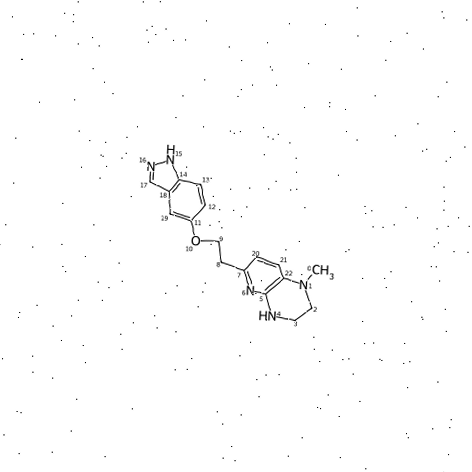 CN1CCNc2nc(CCOc3ccc4[nH]ncc4c3)ccc21